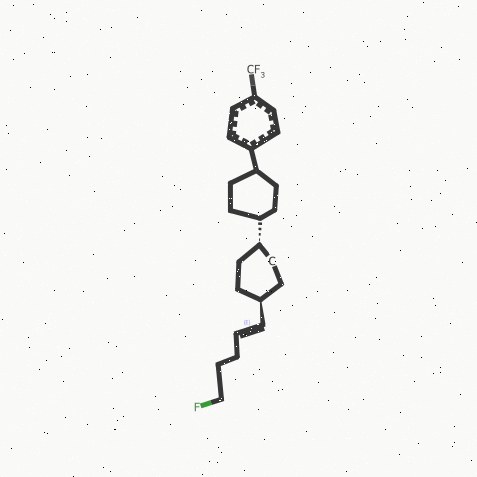 FCCC/C=C/[C@H]1CC[C@H](C2CCC(c3ccc(C(F)(F)F)cc3)CC2)CC1